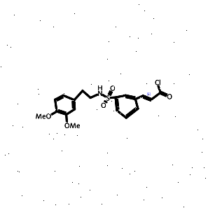 COc1ccc(CCNS(=O)(=O)c2cccc(/C=C/C(=O)Cl)c2)cc1OC